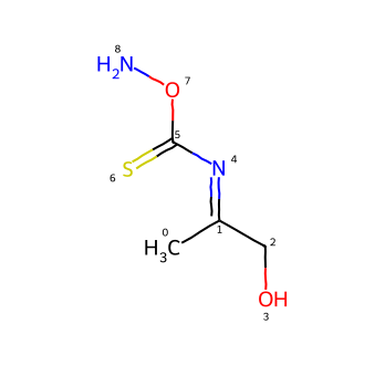 C/C(CO)=N\C(=S)ON